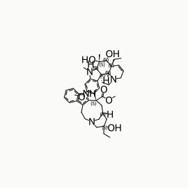 CC[C@]1(O)C[C@@H]2CN(CCc3c([nH]c4ccccc34)[C@@](C(=O)OC)(c3cc4c(cc3OC)N(C)[C@H]3[C@](C)(O)[C@H](O)[C@]5(CC)C=CCN6CC[C@]43[C@@H]65)C2)C1